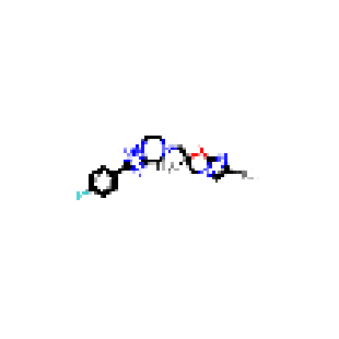 C[C@]1(CN2CCn3nc(-c4ccc(F)cc4)nc3C2)Cn2cc([N+](=O)[O-])nc2O1